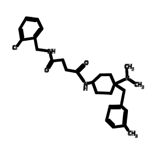 Cc1cccc(CC2(N(C)C)CCC(NC(=O)CCC(=O)NCc3ccccc3Cl)CC2)c1